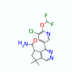 CC1(C)CC(C(N)=O)c2c1cnnc2-c1cnc(OC(F)F)c(Cl)c1